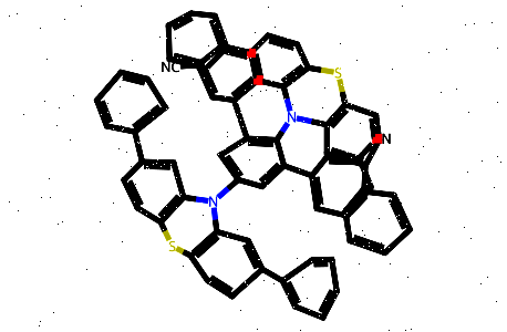 N#Cc1cccc(-c2cc(N3c4cc(-c5ccccc5)ccc4Sc4ccc(-c5ccccc5)cc43)cc(-c3cccc(C#N)c3)c2N2c3cc(-c4ccccc4)ccc3Sc3ccc(-c4ccccc4)cc32)c1